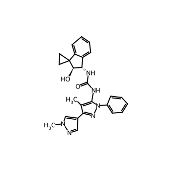 Cc1c(-c2cnn(C)c2)nn(-c2ccccc2)c1NC(=O)N[C@H]1c2ccccc2C2(CC2)[C@@H]1O